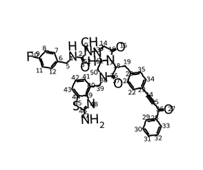 CN(C(=O)NCc1ccc(F)cc1)N1CC(=O)N2[C@@H](Cc3ccc(C#CC(=O)c4ccccc4)cc3)C(=O)N(Cc3cccc4sc(N)nc34)C[C@@H]21